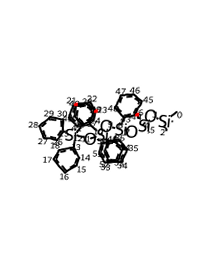 C[Si](C)O[Si](C)(C)O[Si](O[Si](O[Si](c1ccccc1)(c1ccccc1)c1ccccc1)(c1ccccc1)c1ccccc1)(c1ccccc1)c1ccccc1